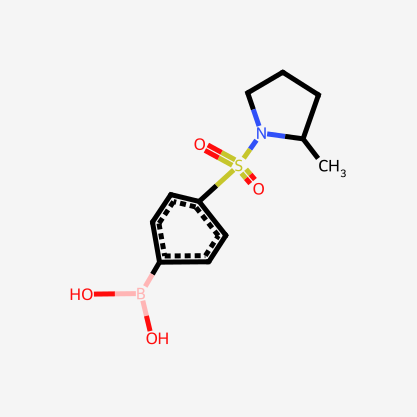 CC1CCCN1S(=O)(=O)c1ccc(B(O)O)cc1